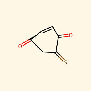 O=C1C=CC(=O)C(=S)C1